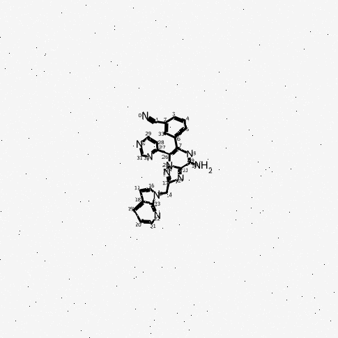 N#Cc1cccc(-c2nc(N)c3nc(Cn4ccc5cccnc54)nn3c2-c2ccncn2)c1